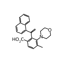 C=C(c1c(C(=O)O)ccc(C)c1N1CCOCC1)c1cccc2ccccc12